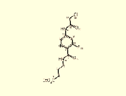 CCOC(=O)CCCNC(=O)c1ncc(NC(=O)CCl)cc1F